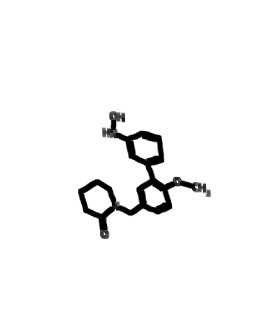 COc1ccc(CN2CCCCC2=O)cc1-c1cccc(NO)c1